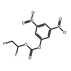 O=C(Oc1cc([N+](=O)[O-])cc([N+](=O)[O-])c1)OC(F)CF